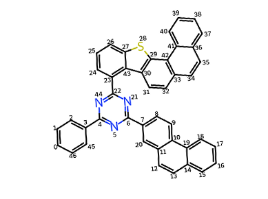 c1ccc(-c2nc(-c3ccc4c(ccc5ccccc54)c3)nc(-c3cccc4sc5c(ccc6ccc7ccccc7c65)c34)n2)cc1